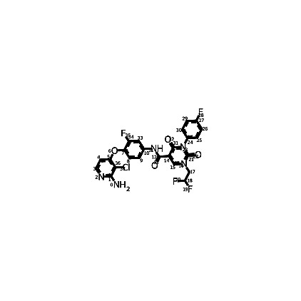 Nc1nccc(Oc2ccc(NC(=O)c3cn(CC(F)F)c(=O)n(-c4ccc(F)cc4)c3=O)cc2F)c1Cl